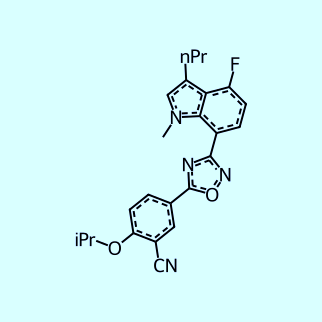 CCCc1cn(C)c2c(-c3noc(-c4ccc(OC(C)C)c(C#N)c4)n3)ccc(F)c12